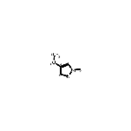 CN1C=C(OC(F)(F)F)C[N]1